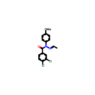 CC=NN(C(=O)c1ccc(Cl)c(Cl)c1)c1ccc(OC)cc1